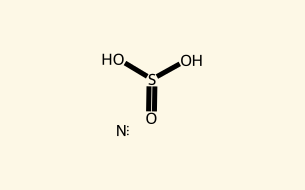 O=S(O)O.[N]